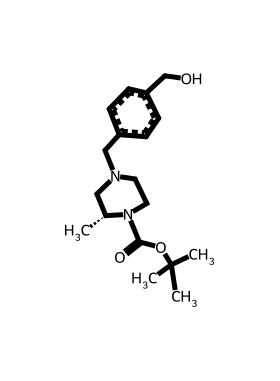 C[C@@H]1CN(Cc2ccc(CO)cc2)CCN1C(=O)OC(C)(C)C